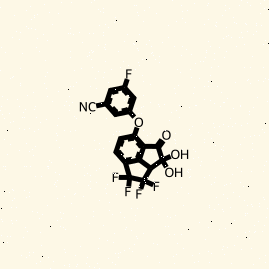 N#Cc1cc(F)cc(Oc2ccc3c4c2C(=O)C(O)(O)C4C(F)(F)C3(F)F)c1